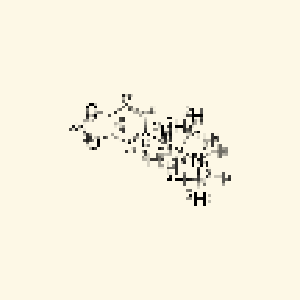 [2H]N(C([2H])([2H])[2H])C([2H])(C([2H])([2H])[2H])C([2H])([2H])c1ccc2c(c1)OCO2